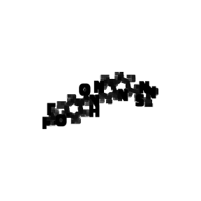 O=C(Nc1cc2nc(-c3nncs3)ccc2cn1)c1ccc(OC(F)F)cc1